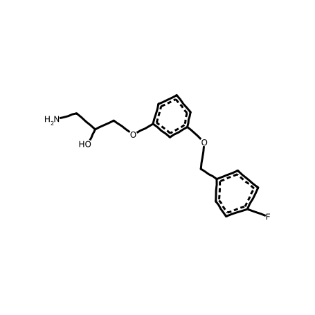 NCC(O)COc1cccc(OCc2ccc(F)cc2)c1